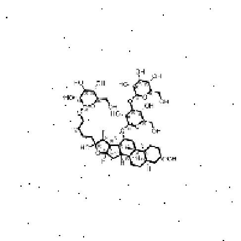 C[C@@H](CC[C@@]1(O)O[C@H]2C[C@H]3[C@@H]4CC[C@@H]5C[C@@H](O)CC[C@]5(C)[C@H]4CC(O[C@@H]4O[C@H](CO)[C@@H](O)[C@H](O[C@@H]5O[C@H](CO)[C@@H](O)[C@H](O)[C@H]5O)[C@H]4O)[C@]3(C)[C@H]2[C@@H]1C)CO[C@@H]1O[C@H](CO)[C@@H](O)[C@H](O)[C@H]1O